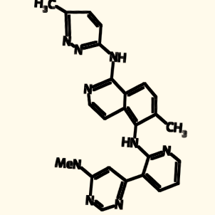 CNc1cc(-c2cccnc2Nc2c(C)ccc3c(Nc4ccc(C)nn4)nccc23)ncn1